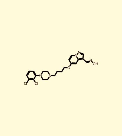 ON=Cc1cnn2ccc(OCCCCN3CCN(c4cccc(Cl)c4Cl)CC3)cc12